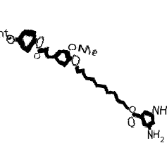 CCCCCOc1ccc(OC(=O)/C=C/c2ccc(OCCCCCCCCCCCOC(=O)c3cc(N)cc(N)c3)c(OC)c2)cc1